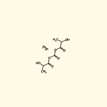 CC(O)C(=O)OC(=O)OC(=O)C(C)O.[Zn].[Zn]